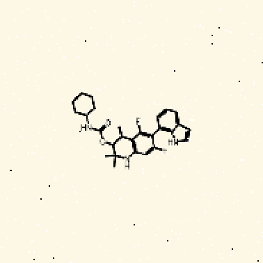 CC1c2c(cc(F)c(-c3cccc4cc[nH]c34)c2F)NC(C)(C)C1OC(=O)NC1CCCCC1